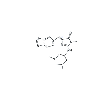 COCC(CC(C)C)NC1=N/C(=C\c2ccc3ncsc3c2)C(=O)N1C